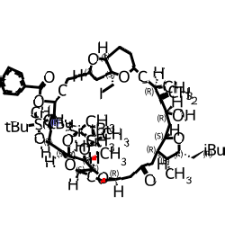 C=C1[C@H](C)CC2CC[C@@H]3O[C@@H](CCC(OC(=O)c4ccccc4)/C=C/[C@H](O[Si](C)(C)C(C)(C)C)[C@@H]4O[C@H]5CC[C@H](CC(=O)C[C@@H]6[C@@H](C)[C@@H](C[C@H](C)CC)O[C@H]6C[C@H]1O)O[C@@H]5[C@H](O[Si](C)(C)C(C)(C)C)[C@@H]4O[Si](C)(C)C(C)(C)C)C[C@]3(CI)O2